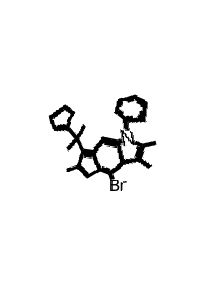 CC1=CC2=C(Br)C3C(=CC2=C1C(C)(C)C1=CC=CC1)N(c1ccccc1)C(C)=C3C